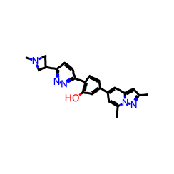 Cc1cc2cc(-c3ccc(-c4ccc(C5CN(C)C5)nn4)c(O)c3)cc(C)n2n1